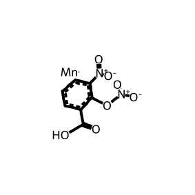 O=C(O)c1cccc([N+](=O)[O-])c1O[N+](=O)[O-].[Mn]